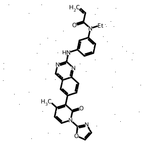 C=CC(=O)N(CC)c1cccc(Nc2ncc3cc(-c4c(C)ccn(-c5ncco5)c4=O)ccc3n2)c1